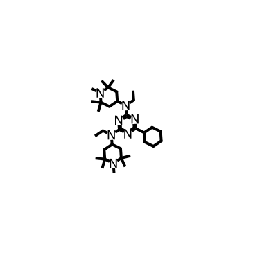 CCN(c1nc(C2CCCCC2)nc(N(CC)C2CC(C)(C)N(C)C(C)(C)C2)n1)C1CC(C)(C)N(C)C(C)(C)C1